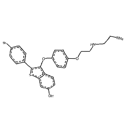 CNCCNCCOc1ccc(Oc2c(-c3ccc(Br)cc3)sc3cc(O)ccc23)cc1